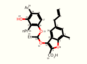 C=CCc1cc(C)c2oc(C(=O)O)c(OC(CC)Oc3ccc(C(C)=O)c(O)c3CCC)c2c1